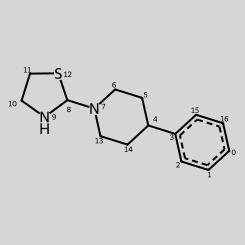 c1ccc(C2CCN(C3NCCS3)CC2)cc1